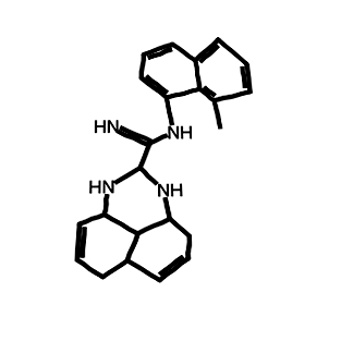 Cc1cccc2cccc(NC(=N)C3NC4C=CCC5C=CCC(N3)C54)c12